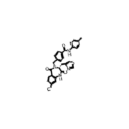 Cc1ccc(NC(=O)c2ccc(CN3C(=O)c4ccc(Cl)cc4NC(=O)[C@H]3Cc3cscn3)cc2)nc1